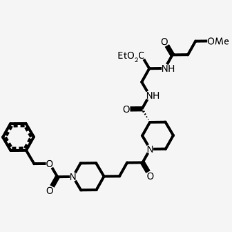 CCOC(=O)C(CNC(=O)[C@@H]1CCCN(C(=O)CCC2CCN(C(=O)OCc3ccccc3)CC2)C1)NC(=O)CCOC